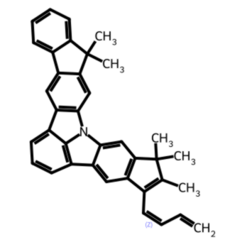 C=C/C=C\C1=C(C)C(C)(C)c2cc3c(cc21)c1cccc2c4cc5c(cc4n3c12)C(C)(C)c1ccccc1-5